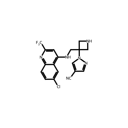 N#Cc1cnn(C2(CNc3cc(C(F)(F)F)nc4ccc(Cl)cc34)CNC2)c1